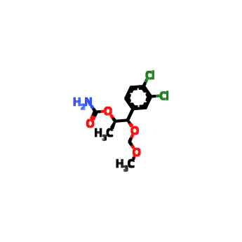 COCO[C@H](c1ccc(Cl)c(Cl)c1)[C@@H](C)OC(N)=O